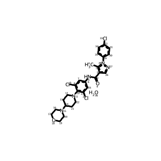 Cc1c(C(=O)Nc2cc(Cl)c(N3CCC(N4CCOCC4)CC3)c(Cl)c2)cnn1-c1ccc(Cl)cc1.O